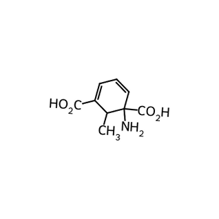 CC1C(C(=O)O)=CC=CC1(N)C(=O)O